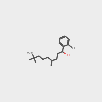 COC(C)(C)CCCC(C)CCC(O)c1ccccc1C(C)C